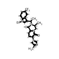 CCn1cc(C(C)N2C(=O)c3ccc(-n4cnc(C)c4)c(=O)n3CC2C)c2cc(C(F)(F)F)ccc21